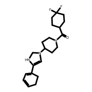 O=C(C1CCC(F)(F)CC1)N1CCC(N2C=C(C3=CC=CCC3)NC2)CC1